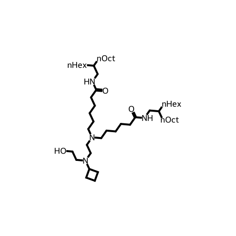 CCCCCCCCC(CCCCCC)CNC(=O)CCCCCN(CCCCCC(=O)NCC(CCCCCC)CCCCCCCC)CCN(CCO)C1CCC1